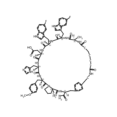 COc1ccc(C[C@@H]2NC(=O)[C@H](Cc3cnc[nH]3)NC(=O)[C@H](CC(=O)O)NC(=O)[C@H](Cc3c[nH]c4ccc(F)cc34)NC(=O)[C@H](Cc3c[nH]c4ccc(F)cc34)NC(=O)[C@@H](C)NC(=O)CCCCCC(=O)NCc3ccc(cc3)C[C@@H](C(N)=O)NC(=O)[C@]3(C)CCCN3C2=O)cc1